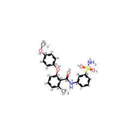 NS(=O)(=O)c1cccc(NC(=O)c2c(Oc3ccc(OC(F)(F)F)cc3)cccc2C(F)(F)F)c1